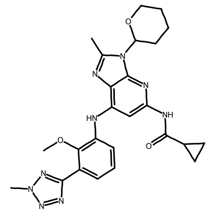 COc1c(Nc2cc(NC(=O)C3CC3)nc3c2nc(C)n3C2CCCCO2)cccc1-c1nnn(C)n1